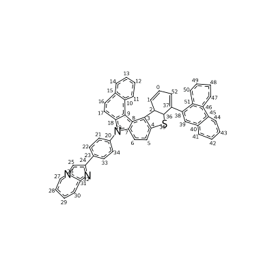 C1=CC2c3c(ccc4c3c3c5ccccc5ccc3n4-c3ccc(-c4cn5ccccc5n4)cc3)SC2C(c2cc3ccccc3c3ccccc23)=C1